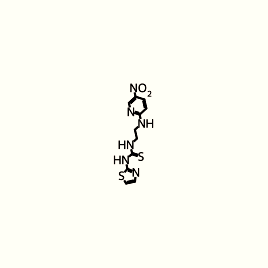 O=[N+]([O-])c1ccc(NCCNC(=S)Nc2nccs2)nc1